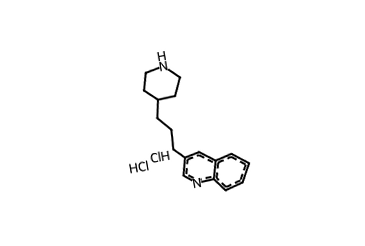 Cl.Cl.c1ccc2ncc(CCCC3CCNCC3)cc2c1